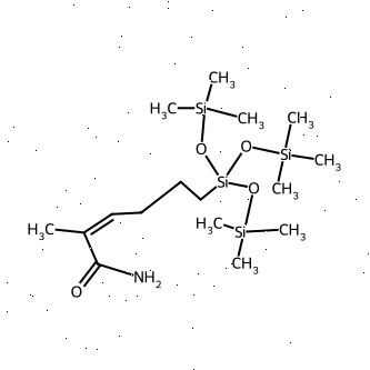 CC(=CCCC[Si](O[Si](C)(C)C)(O[Si](C)(C)C)O[Si](C)(C)C)C(N)=O